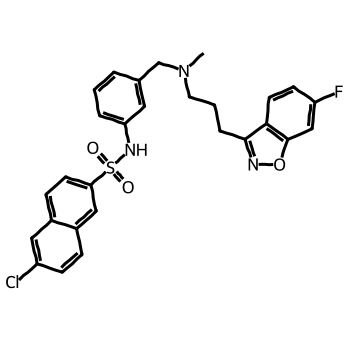 CN(CCCc1noc2cc(F)ccc12)Cc1cccc(NS(=O)(=O)c2ccc3cc(Cl)ccc3c2)c1